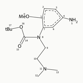 COc1ccc(N)cc1N(CCN(C)C)C(=O)OC(C)(C)C